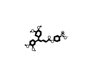 COc1ccc(C(=C/C=C/C(=O)Oc2ccc([N+](=O)[O-])cc2)c2ccc(OC)c(OC)c2)cc1OC